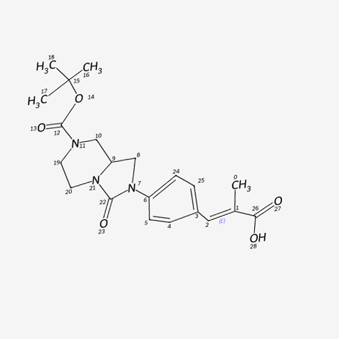 C/C(=C\c1ccc(N2CC3CN(C(=O)OC(C)(C)C)CCN3C2=O)cc1)C(=O)O